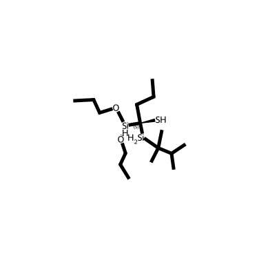 CCCO[SiH](OCCC)[C@](S)(CCC)[SiH2]C(C)(C)C(C)C